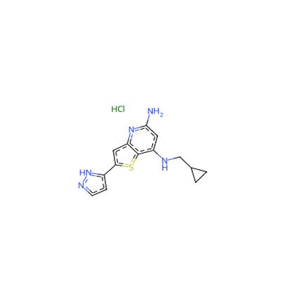 Cl.Nc1cc(NCC2CC2)c2sc(-c3ccn[nH]3)cc2n1